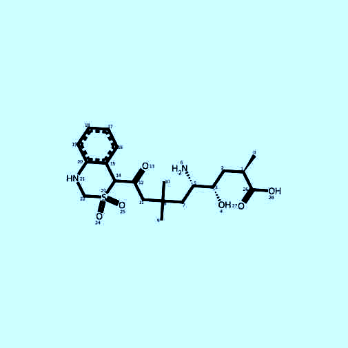 C[C@H](C[C@H](O)[C@@H](N)CC(C)(C)CC(=O)C1c2ccccc2NCS1(=O)=O)C(=O)O